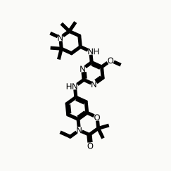 CCN1C(=O)C(C)(C)Oc2cc(Nc3ncc(OC)c(NC4CC(C)(C)N(C)C(C)(C)C4)n3)ccc21